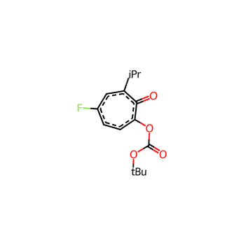 CC(C)c1cc(F)ccc(OC(=O)OC(C)(C)C)c1=O